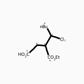 CCCCC(Cl)C(CC(=O)O)C(=O)OCC